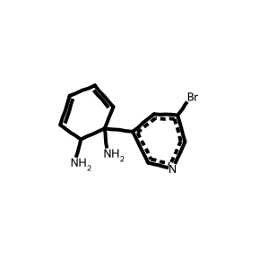 NC1C=CC=CC1(N)c1cncc(Br)c1